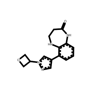 O=C1CCNc2c(cccc2-c2cnn(C3COC3)c2)N1